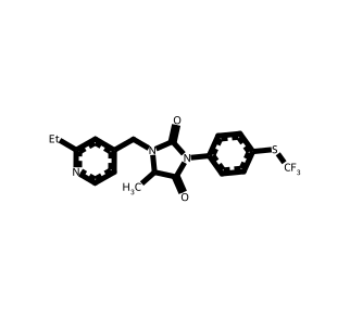 CCc1cc(CN2C(=O)N(c3ccc(SC(F)(F)F)cc3)C(=O)C2C)ccn1